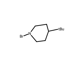 CC(C)(C)C1CCN(Br)CC1